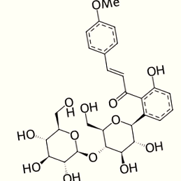 COc1ccc(C=CC(=O)c2c(O)cccc2[C@@H]2O[C@H](CO)[C@@H](O[C@@H]3O[C@H](CO)[C@@H](O)[C@H](O)[C@H]3O)[C@H](O)[C@H]2O)cc1